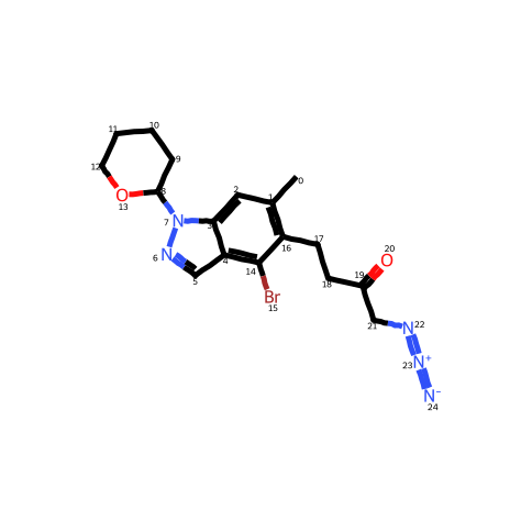 Cc1cc2c(cnn2C2CCCCO2)c(Br)c1CCC(=O)CN=[N+]=[N-]